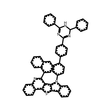 c1ccc(C2=NC(c3ccc(-c4ccc(-n5c6ccccc6c6sc7c8ccccc8nc(-c8cccc9ccccc89)c7c65)cc4)cc3)=NC(c3ccccc3)N2)cc1